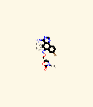 CN1C[C@@H](CO/N=C2\c3cc(Br)ccc3-c3ncnc(N)c3C2(C)C)OC1=O